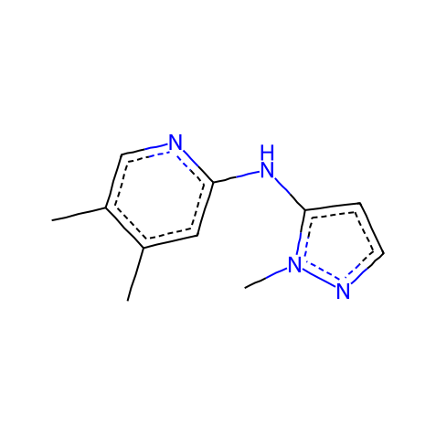 Cc1cnc(Nc2ccnn2C)cc1C